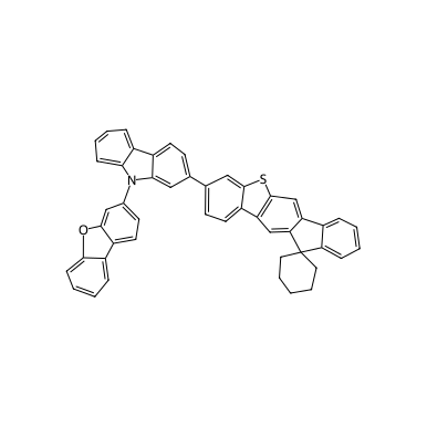 c1ccc2c(c1)-c1cc3sc4cc(-c5ccc6c7ccccc7n(-c7ccc8c(c7)oc7ccccc78)c6c5)ccc4c3cc1C21CCCCC1